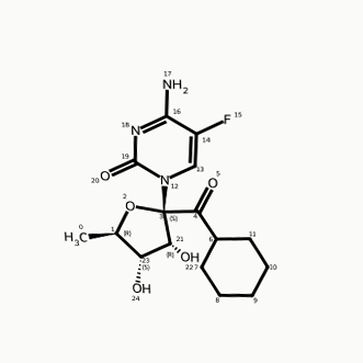 C[C@H]1O[C@@](C(=O)C2CCCCC2)(n2cc(F)c(N)nc2=O)[C@H](O)[C@@H]1O